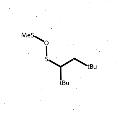 CSOSC(CC(C)(C)C)C(C)(C)C